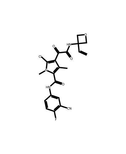 C=CC1(NC(=O)C(=O)c2c(C)c(C(=O)Nc3ccc(F)c(C#N)c3)n(C)c2Cl)COC1